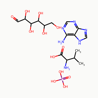 CC(C)C(N)C(=O)O.Nc1ncnc2nc[nH]c12.O=CC(O)C(O)C(O)C(O)CO.O=P(O)(O)O